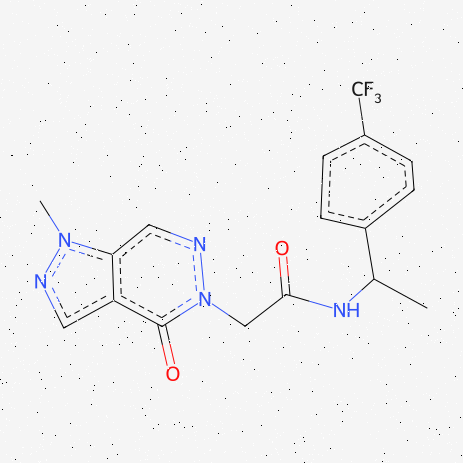 CC(NC(=O)Cn1ncc2c(cnn2C)c1=O)c1ccc(C(F)(F)F)cc1